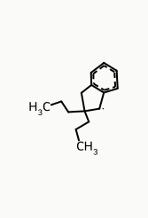 CCCC1(CCC)[CH]c2ccccc2C1